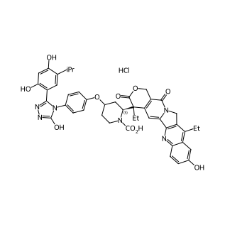 CCc1c2c(nc3ccc(O)cc13)-c1cc3c(c(=O)n1C2)COC(=O)C3(CC)[C@@H]1CC(Oc2ccc(-n3c(O)nnc3-c3cc(C(C)C)c(O)cc3O)cc2)CCN1C(=O)O.Cl